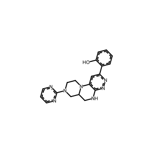 Oc1ccccc1-c1cc2c(nn1)NCC1CN(c3ncccn3)CCN21